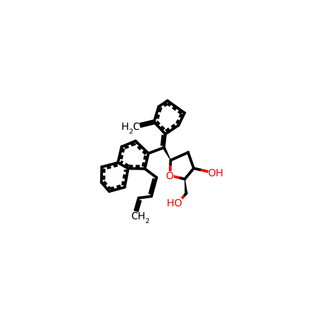 C=C/C=C\c1c(/C(=c2/ccccc2=C)[C@H]2CC(O)[C@@H](CO)O2)ccc2ccccc12